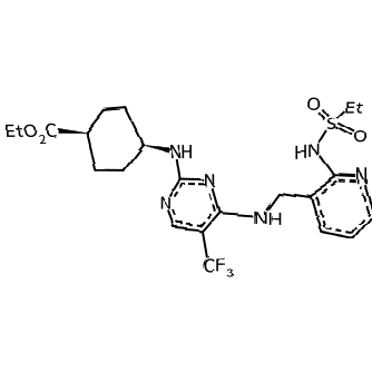 CCOC(=O)[C@H]1CC[C@@H](Nc2ncc(C(F)(F)F)c(NCc3cccnc3NS(=O)(=O)CC)n2)CC1